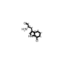 N[C@H](C=O)Cc1c[nH]c2c(Cl)cccc12